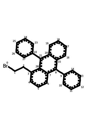 BrCCc1cccc2c(-c3ccccc3)c3ccccc3c(-c3ccccc3)c12